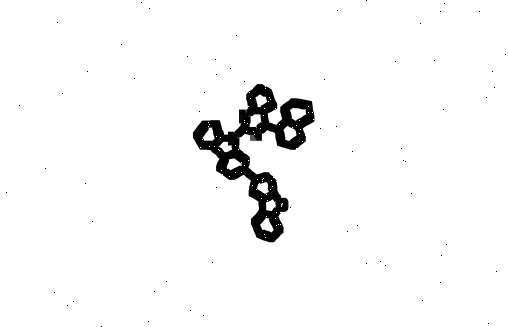 c1ccc2c(-c3nc(-n4c5ccccc5c5ccc(-c6ccc7oc8ccccc8c7c6)cc54)nc4ccccc34)cccc2c1